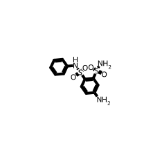 Nc1ccc(S(=O)(=O)Nc2ccccc2)c(S(N)(=O)=O)c1